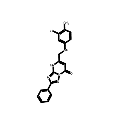 Cc1ccc(NCc2cc(=O)n3nc(-c4ccccc4)nc3[nH]2)cc1Cl